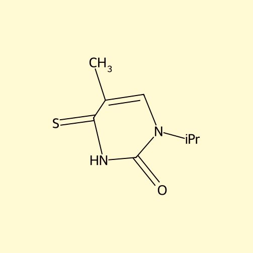 Cc1cn(C(C)C)c(=O)[nH]c1=S